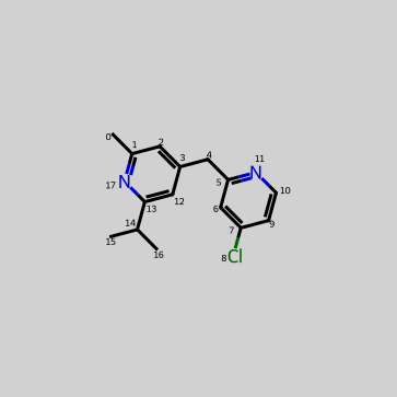 Cc1cc(Cc2cc(Cl)ccn2)cc(C(C)C)n1